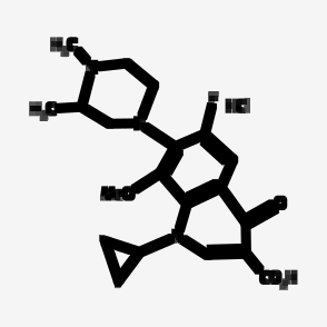 COc1c(N2CCN(C)C(C)C2)c(F)cc2c(=O)c(C(=O)O)cn(C3CC3)c12.Cl